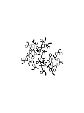 C=CC(=O)OCC(C)(COC(=O)C=C)NC(=O)OCC(OC(=O)NC(C)(COC(=O)C=C)COC(=O)C=C)C(OC(=O)NC(C)(COC(=O)C=C)COC(=O)C=C)C(OC(=O)NC(C)(COC(=O)C=C)COC(=O)C=C)C(COC(=O)NC(C)(COC(=O)C=C)COC(=O)C=C)OC(=O)NC(C)(COC(=O)C=C)COC(=O)C=C